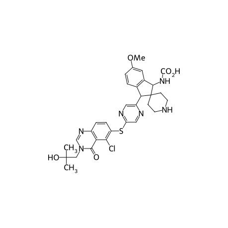 COc1ccc2c(c1)C(NC(=O)O)C1(CCNCC1)C2c1cnc(Sc2ccc3ncn(CC(C)(C)O)c(=O)c3c2Cl)cn1